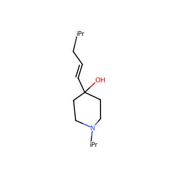 CC(C)C/C=C/C1(O)CCN(C(C)C)CC1